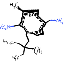 Cc1cc(N)cc(C(C)(C)C)c1N